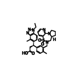 CCn1nnc2c(C)c([C@H](CC(=O)O)c3ccc(C)c(CN4C[C@@H]5CCCN5c5ncccc5S4(=O)=O)c3)ccc21